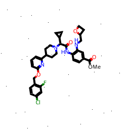 COC(=O)c1ccc(NC(=O)C(C2CC2)N2CCC(c3cccc(OCc4ccc(Cl)cc4F)n3)CC2)c(NCC2CCO2)c1